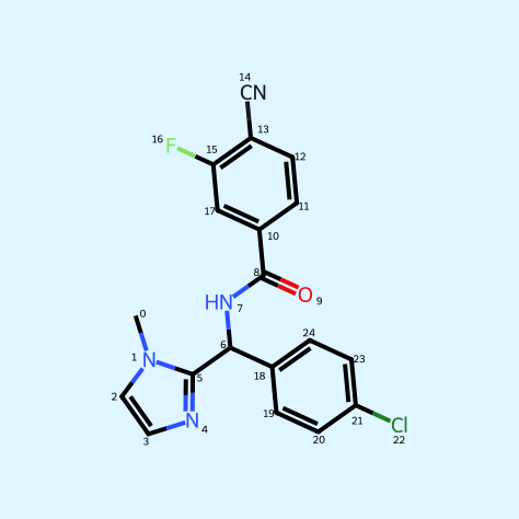 Cn1ccnc1C(NC(=O)c1ccc(C#N)c(F)c1)c1ccc(Cl)cc1